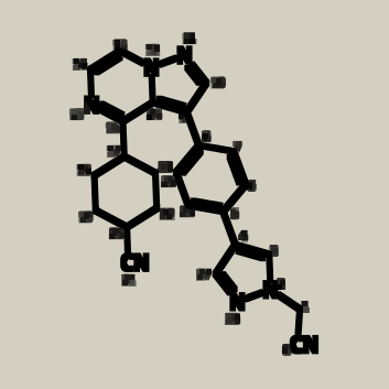 N#CCn1cc(-c2ccc(-c3cnn4ccnc(C5CCC(C#N)CC5)c34)cc2)cn1